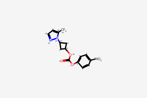 O=C(Oc1ccc([N+](=O)[O-])cc1)OC1CC(n2nccc2C(F)(F)F)C1